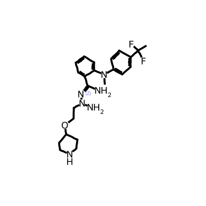 CN(c1ccc(C(C)(F)F)cc1)c1ccccc1/C(N)=N/N(N)CCOC1CCNCC1